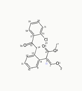 CO/C=C(\C(=O)OC)c1ccccc1CC(=O)c1ccccc1Cl